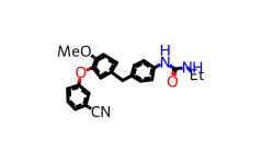 CCNC(=O)Nc1ccc(Cc2ccc(OC)c(Oc3cccc(C#N)c3)c2)cc1